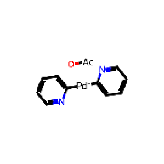 CC(=O)[O-].c1cc[c]([Pd+][c]2ccccn2)nc1